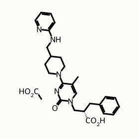 CC(=O)O.Cc1cn(C[C@H](Cc2ccccc2)C(=O)O)c(=O)nc1N1CCC(CNc2ccccn2)CC1